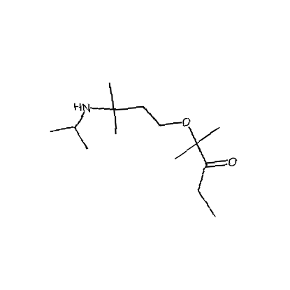 CCC(=O)C(C)(C)OCCC(C)(C)NC(C)C